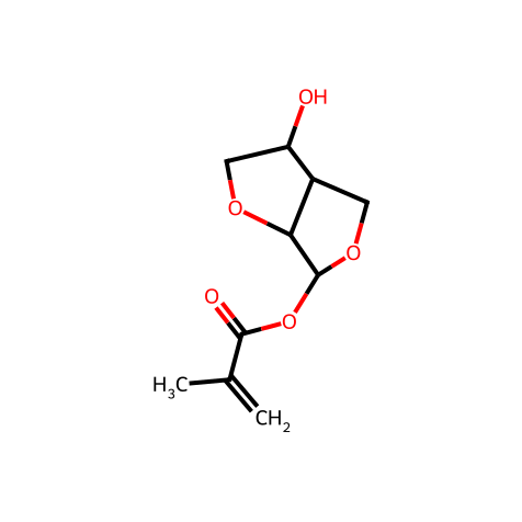 C=C(C)C(=O)OC1OCC2C(O)COC12